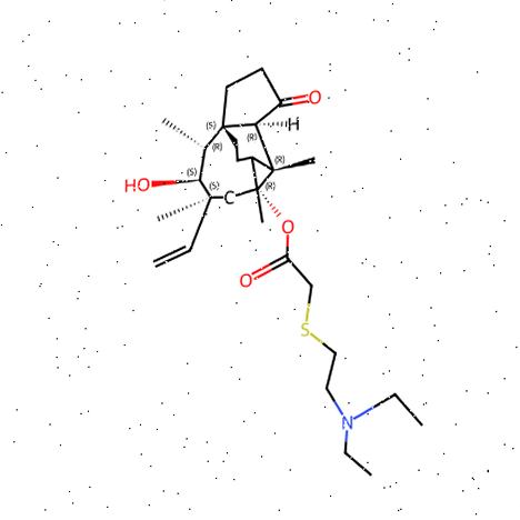 C=C[C@]1(C)C[C@@H](OC(=O)CSCCN(CC)CC)[C@]2(C)C(C)CC[C@]3(CCC(=O)[C@H]32)[C@@H](C)[C@@H]1O